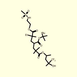 CCC(C)(CC(CC(C)(C)C(=O)OC(C)CC(C)(O)C(F)(F)F)C(=O)OC(C)(C)C(C)(C)C)C(=O)OCCNS(C)(=O)=O